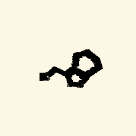 N#CCc1nnc2ccccn12